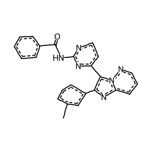 Cc1cccc(-c2nc3cccnn3c2-c2ccnc(NC(=O)c3ccccc3)n2)c1